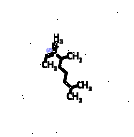 C/C=[PH](/C)C(C)CCCC(C)C